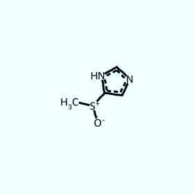 C[S+]([O-])c1cnc[nH]1